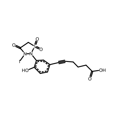 O=C(O)CCCC#Cc1ccc(O)c(N2N(I)C(=O)CS2(=O)=O)c1